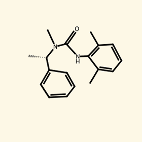 Cc1cccc(C)c1NC(=O)N(C)[C@@H](C)c1ccccc1